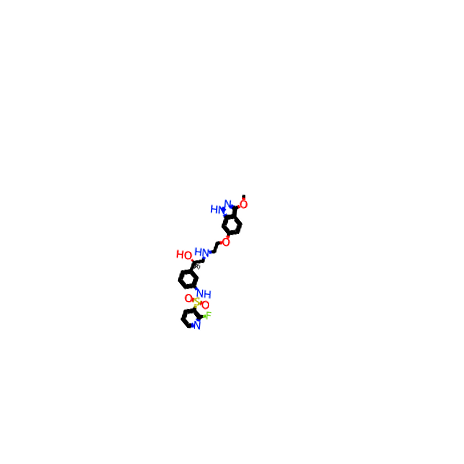 COc1n[nH]c2cc(OCCNC[C@H](O)c3cccc(NS(=O)(=O)c4cccnc4F)c3)ccc12